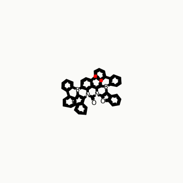 O=C1N2c3oc4ccccc4c3B(c3ccccc3-c3ccccc3)c3ccc4ccc5c(c4c32)N1c1c(oc2ccccc12)B5c1ccccc1-c1ccccc1